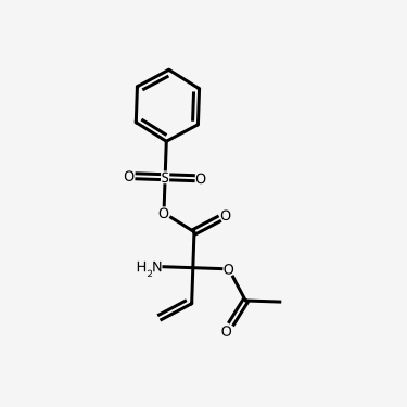 C=CC(N)(OC(C)=O)C(=O)OS(=O)(=O)c1ccccc1